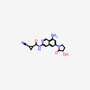 N#CC1CC1C(=O)Nc1cc2cc(N3CC[C@H](O)C3=O)cc(N)c2cn1